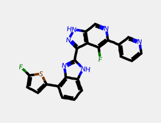 Fc1ccc(-c2cccc3[nH]c(-c4n[nH]c5cnc(-c6cccnc6)c(F)c45)nc23)s1